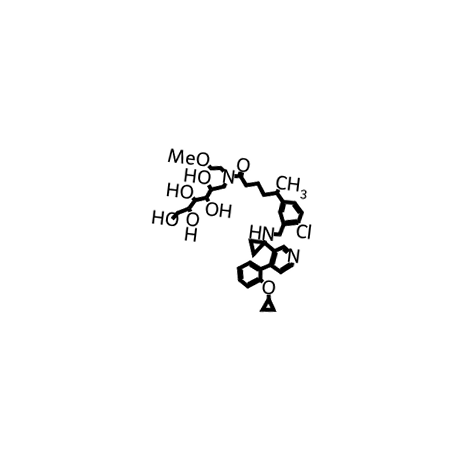 COCCN(CC(O)C(O)C(O)C(O)CO)C(=O)CCCC(C)c1ccc(Cl)c(CNC2(c3cnccc3-c3ccccc3OC3CC3)CC2)c1